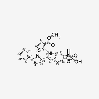 COC(=O)c1ccsc1N[C@@H](Cc1ccc(NS(=O)(=O)O)cc1)c1csc(-c2ccccc2)n1